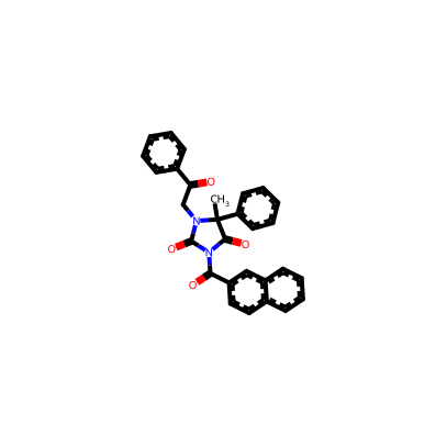 CC1(c2ccccc2)C(=O)N(C(=O)c2ccc3ccccc3c2)C(=O)N1CC(=O)c1ccccc1